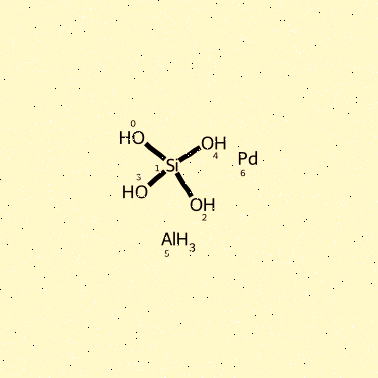 O[Si](O)(O)O.[AlH3].[Pd]